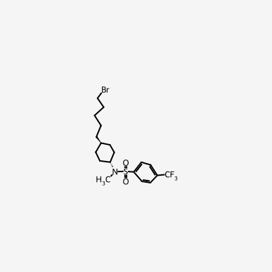 CN([C@H]1CC[C@H](CCCCCBr)CC1)S(=O)(=O)c1ccc(C(F)(F)F)cc1